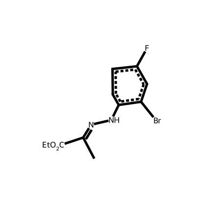 CCOC(=O)C(C)=NNc1ccc(F)cc1Br